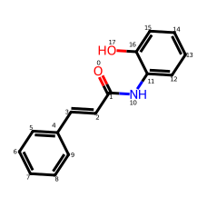 O=C(C=Cc1ccccc1)Nc1ccccc1O